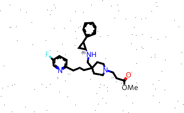 COC(=O)CCN1CCC(CCCc2ccc(F)cn2)(CN[C@@H]2CC2c2ccccc2)CC1